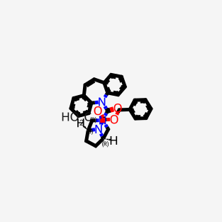 O=C(O)[C@H]1[C@@H]2CC[C@H](CN1C(=O)N1c3ccccc3C=Cc3ccccc31)N2C(=O)OCc1ccccc1